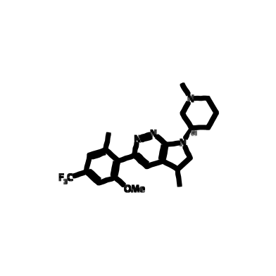 COc1cc(C(F)(F)F)cc(C)c1-c1cc2c(nn1)N([C@@H]1CCCN(C)C1)CC2C